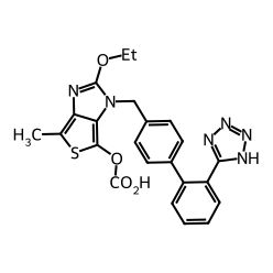 CCOc1nc2c(C)sc(OC(=O)O)c2n1Cc1ccc(-c2ccccc2-c2nnn[nH]2)cc1